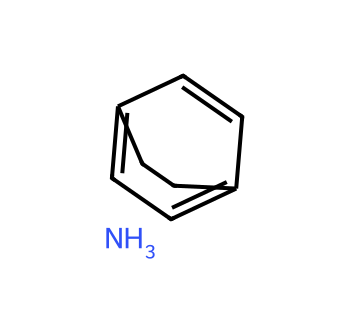 N.c1cc2ccc1CC2